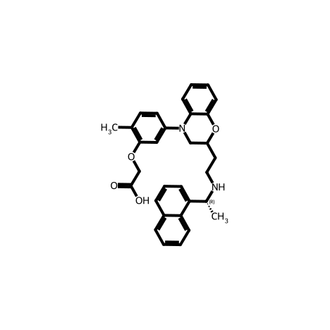 Cc1ccc(N2CC(CCN[C@H](C)c3cccc4ccccc34)Oc3ccccc32)cc1OCC(=O)O